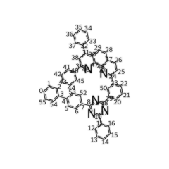 c1ccc(-c2ccc(-c3nc(-c4ccccc4)nc(-c4cccc(-c5ccc6ccc7c(-c8ccccc8)cc(-c8ccccc8)nc7c6n5)c4)n3)cc2)cc1